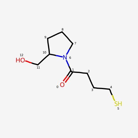 O=C(CCCS)N1CCCC1CO